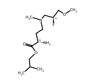 COC[C@@H](F)CN(C)CC[C@H](N)C(=O)OCC(C)C